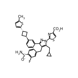 Cc1ccc([C@H]2C[C@H](c3cccc(-c4nn(-c5nc(C(=O)O)cs5)c(CC5CC5)c4Cc4ccc([S+](N)[O-])c(F)c4)c3)C2)s1